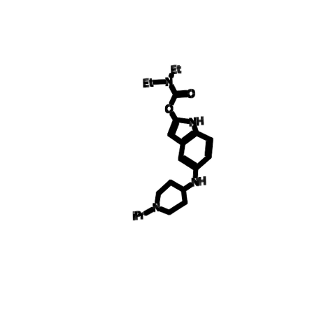 CCN(CC)C(=O)Oc1cc2cc(NC3CCN(C(C)C)CC3)ccc2[nH]1